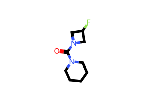 O=C(N1CCCCC1)N1CC(F)C1